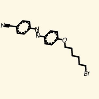 N#Cc1ccc(/N=N/c2ccc(OCCCCCCBr)cc2)cc1